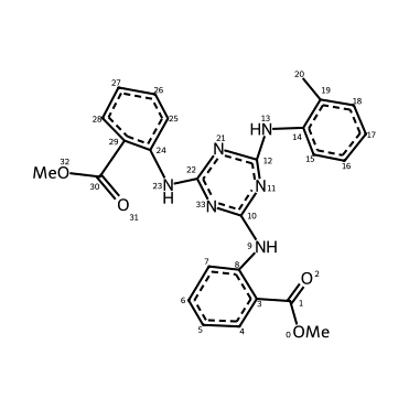 COC(=O)c1ccccc1Nc1nc(Nc2ccccc2C)nc(Nc2ccccc2C(=O)OC)n1